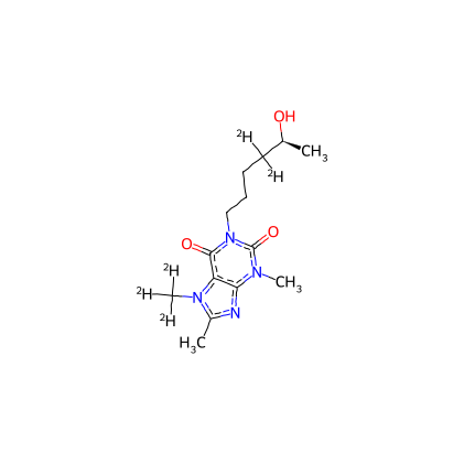 [2H]C([2H])(CCCn1c(=O)c2c(nc(C)n2C([2H])([2H])[2H])n(C)c1=O)[C@H](C)O